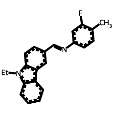 CCn1c2ccccc2c2cc(C=Nc3ccc(C)c(F)c3)ccc21